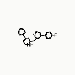 Fc1ccc(-c2ccnc(CC3CC(c4ccccc4)=CCN3)c2)cc1